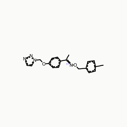 C/C(=N\OCc1ccc(C)cc1)c1ccc(OCn2ccnn2)cc1